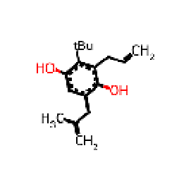 C=CCc1c(O)c(CC(=C)C)cc(O)c1C(C)(C)C